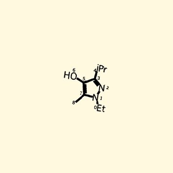 CCn1nc(C(C)C)c(O)c1C